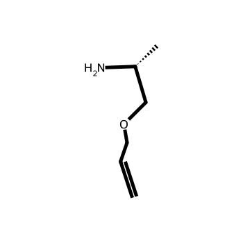 C=CCOC[C@@H](C)N